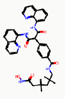 CC(C)(CNC(=O)c1ccc(C(C(=O)Nc2cccc3cccnc23)C(=O)Nc2cccc3cccnc23)cc1)CC(C)(C)CC(=O)NO